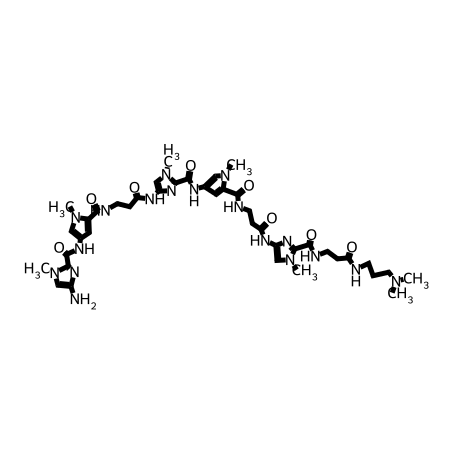 CN(C)CCCNC(=O)CCNC(=O)c1nc(NC(=O)CCNC(=O)c2cc(NC(=O)c3nc(NC(=O)CCNC(=O)c4cc(NC(=O)c5nc(N)cn5C)cn4C)cn3C)cn2C)cn1C